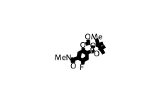 CNC(=O)c1cc(OCOC)c(B2OC(C)(C)C(C)(C)O2)cc1F